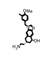 COc1ccc(Cn2cnc3cc4c(cc32)C[C@@H](CCN)C[C@@H]4O)cc1C